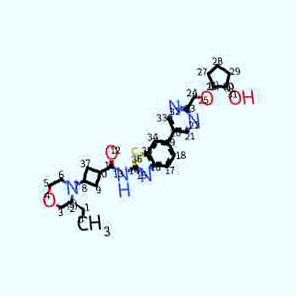 CC[C@H]1COCCN1C1CC(C(=O)Nc2nc3ccc(-c4cnc(CO[C@H]5CCC[C@@H]5O)nc4)cc3s2)C1